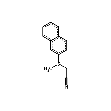 C[S+](CC#N)c1ccc2ccccc2c1